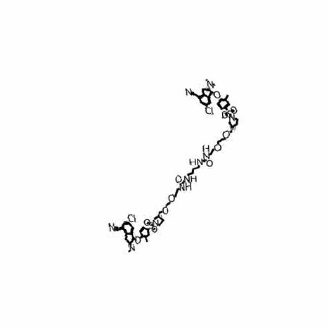 Cc1cc(S(=O)(=O)N2CC[C@H](COCCOCCNC(=O)NCCCCNC(=O)NCCOCCOC[C@H]3CCN(S(=O)(=O)c4ccc(O[C@H]5c6cc(Cl)cc(C#N)c6C[C@@H]5N(C)C)c(C)c4)C3)C2)ccc1O[C@H]1c2cc(Cl)cc(C#N)c2C[C@@H]1N(C)C